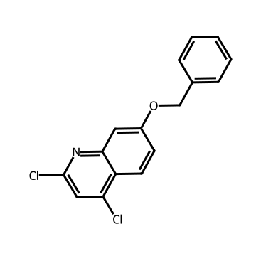 Clc1cc(Cl)c2ccc(OCc3ccccc3)cc2n1